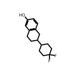 Oc1ccc2c(c1)CCC(C1CCC(F)(F)CC1)C2